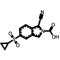 N#Cc1c2ccc(S(=O)(=O)C3CC3)cc2cn1C(=O)O